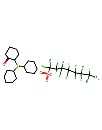 O=C1CCCCC1[S+](C1CCCCC1)C1CCCCC1.O=S(=O)([O-])C(F)(F)C(F)(F)C(F)(F)C(F)(F)C(F)(F)C(F)(F)C(F)(F)C(F)(F)F